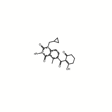 CCCn1c(=O)c2c(C)c(C(=O)C3=C(O)CCCC3=O)ccc2n(CC2CC2)c1=O